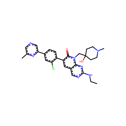 CCNc1ncc2cc(-c3ccc(-c4cncc(C)n4)cc3Cl)c(=O)n(CC3(O)CCN(C)CC3)c2n1